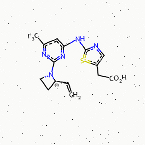 C=C[C@H]1CCN1c1nc(Nc2ncc(CC(=O)O)s2)cc(C(F)(F)F)n1